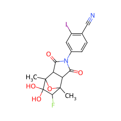 CC12OC(C)(C3C(=O)N(c4ccc(C#N)c(I)c4)C(=O)C31)C(O)(O)C2F